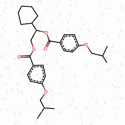 CC(C)COc1ccc(C(=O)OCC(OC(=O)c2ccc(OCC(C)C)cc2)C2CCCCC2)cc1